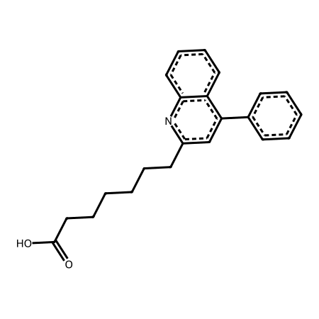 O=C(O)CCCCCCc1cc(-c2ccccc2)c2ccccc2n1